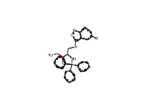 CSC(C)C(COc1noc2ccc(Cl)cc12)NC(c1ccccc1)(c1ccccc1)c1ccccc1